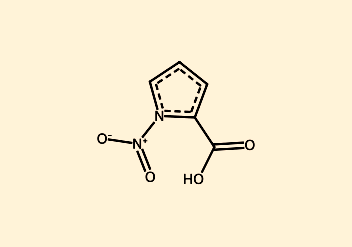 O=C(O)c1cccn1[N+](=O)[O-]